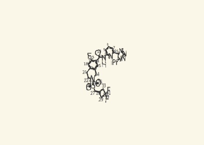 CC(C)n1nnnc1-c1cccc(NC(=O)c2cc3c(cc2F)CCN(S(=O)(=O)CC2CC(F)(F)C2)C3)n1